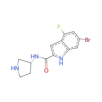 O=C(N[C@@H]1CCNC1)c1cc2c(F)cc(Br)cc2[nH]1